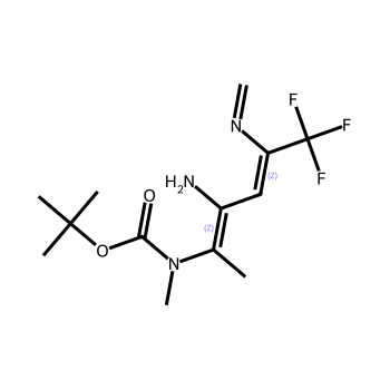 C=N/C(=C\C(N)=C(/C)N(C)C(=O)OC(C)(C)C)C(F)(F)F